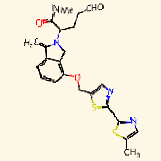 C=C1c2cccc(OCc3cnc(-c4ncc(C)s4)s3)c2CN1C(CCC=O)C(=O)NC